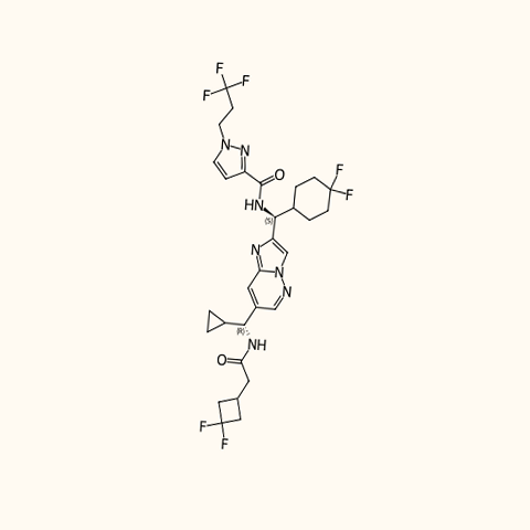 O=C(CC1CC(F)(F)C1)N[C@@H](c1cnn2cc([C@@H](NC(=O)c3ccn(CCC(F)(F)F)n3)C3CCC(F)(F)CC3)nc2c1)C1CC1